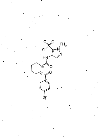 Cn1ncc(NC(=O)[C@@H]2CCCC[C@H]2C(=O)c2ccc(Br)cc2)c1S(=O)(=O)Cl